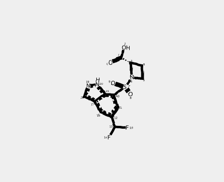 O=C(O)[C@@H]1CCN1S(=O)(=O)c1cc(C(F)F)cc2cn[nH]c12